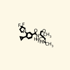 CNCC(C)(C)[C@@H](C=O)NC(=O)c1ccc(C2CC2)c(N2CCC(F)(F)C2)c1